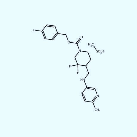 CS(=O)(=O)O.Cc1cnc(NCC2CCN(C(=O)OCc3ccc(F)cc3)CC2(F)F)cn1